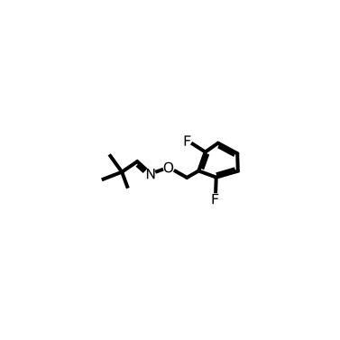 CC(C)(C)C=NOCc1c(F)cccc1F